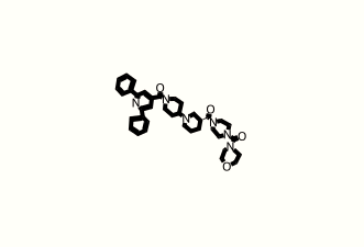 O=C(c1cc(-c2ccccc2)nc(-c2ccccc2)c1)N1CCC(N2CCC[C@@H](C(=O)N3CCN(C(=O)N4CCOCC4)CC3)C2)CC1